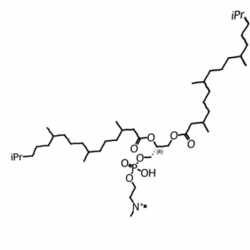 C=[N+](C)CCOP(=O)(O)OC[C@@H](COC(=O)CC(C)CCCC(C)CCCC(C)CCCC(C)C)OC(=O)CC(C)CCCC(C)CCCC(C)CCCC(C)C